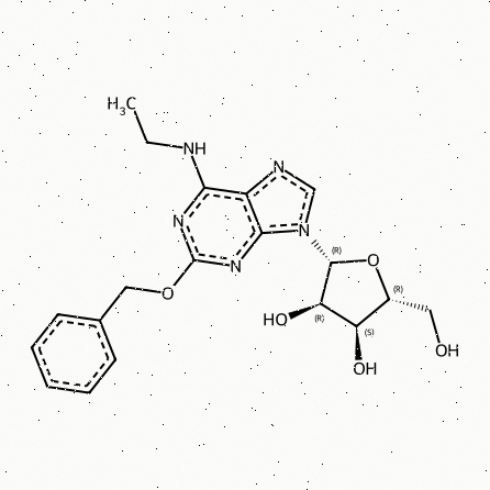 CCNc1nc(OCc2ccccc2)nc2c1ncn2[C@@H]1O[C@H](CO)[C@@H](O)[C@H]1O